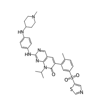 Cc1ccc(S(=O)(=O)c2cncs2)cc1-c1cc2cnc(Nc3ccc(NC4CCN(C)CC4)cc3)nc2n(C(C)C)c1=O